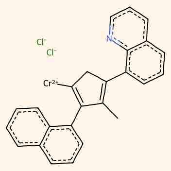 CC1=C(c2cccc3cccnc23)C[C]([Cr+2])=C1c1cccc2ccccc12.[Cl-].[Cl-]